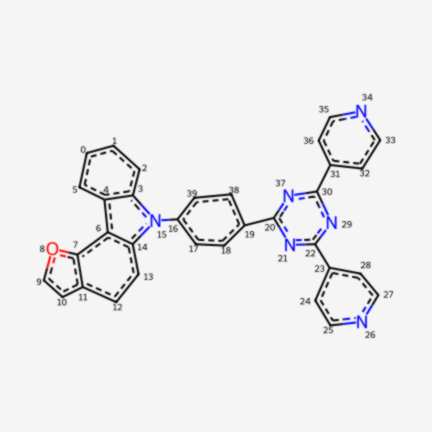 c1ccc2c(c1)c1c3occc3ccc1n2-c1ccc(-c2nc(-c3ccncc3)nc(-c3ccncc3)n2)cc1